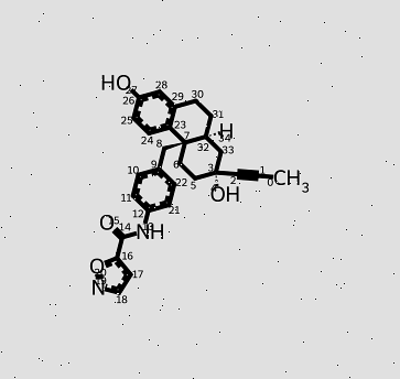 CC#C[C@@]1(O)CC[C@]2(Cc3ccc(NC(=O)c4ccno4)cc3)c3ccc(O)cc3CC[C@H]2C1